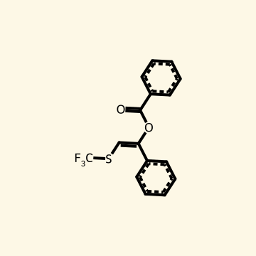 O=C(O/C(=C/SC(F)(F)F)c1ccccc1)c1ccccc1